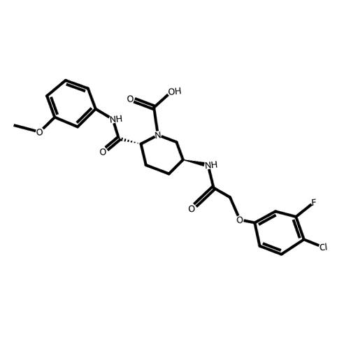 COc1cccc(NC(=O)[C@H]2CC[C@H](NC(=O)COc3ccc(Cl)c(F)c3)CN2C(=O)O)c1